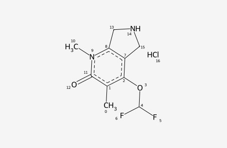 Cc1c(OC(F)F)c2c(n(C)c1=O)CNC2.Cl